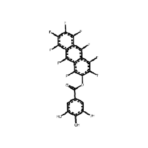 O=C(Oc1c(F)c(F)c2c(F)c3c(F)c(F)c(F)c(F)c3c(F)c2c1F)c1cc(O)c(O)c(O)c1